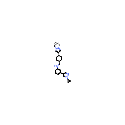 CCn1cc([C@H]2CC[C@H](CNc3cccc(-c4cnn(C5CC5)c4)c3)CC2)cn1